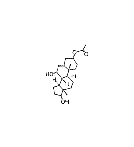 CC(=O)O[C@H]1CC[C@@]2(C)C(=C[C@H](O)[C@H]3[C@@H]4CC[C@H](O)[C@@]4(C)CC[C@@H]32)C1